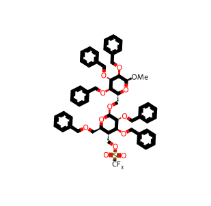 CO[C@H]1O[C@H](CO[C@@H]2O[C@H](COCc3ccccc3)[C@@H](COS(=O)(=O)C(F)(F)F)[C@H](OCc3ccccc3)[C@H]2OCc2ccccc2)[C@@H](OCc2ccccc2)[C@H](OCc2ccccc2)[C@H]1OCc1ccccc1